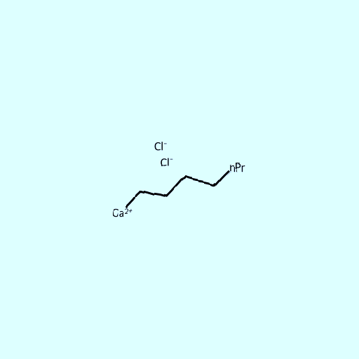 CCCCCC[CH2][Ga+2].[Cl-].[Cl-]